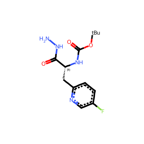 CC(C)(C)OC(=O)N[C@H](Cc1ccc(F)cn1)C(=O)NN